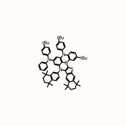 CC(C)(C)c1ccc(N(c2ccccc2)c2cc3c4c(c2)N(c2ccc5c(c2)C(C)(C)CCC5(C)C)c2c(sc5cc6c(cc25)C(C)(C)CCC6(C)C)B4c2cc(C(C)(C)C)ccc2N3c2ccc(C(C)(C)C)cc2)cc1